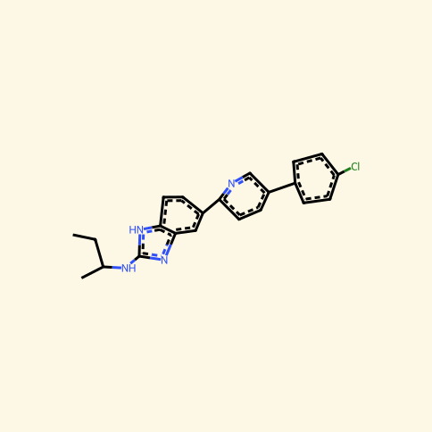 CCC(C)Nc1nc2cc(-c3ccc(-c4ccc(Cl)cc4)cn3)ccc2[nH]1